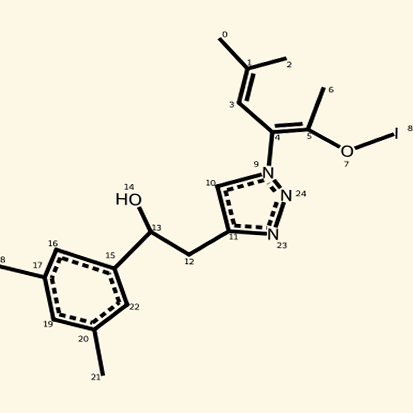 CC(C)=C/C(=C(\C)OI)n1cc(CC(O)c2cc(C)cc(C)c2)nn1